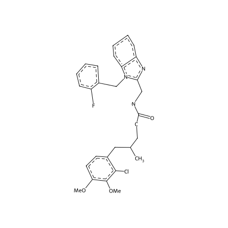 COc1ccc(CC(C)CCC(=O)[N]Cc2nc3ccccc3n2Cc2ccccc2F)c(Cl)c1OC